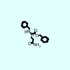 NC(=O)CC[C@H](NCc1ccccc1)C(=O)OCc1ccccc1